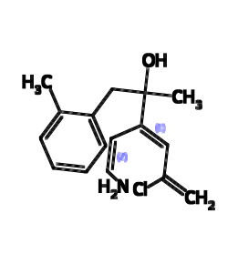 C=C(Cl)/C=C(\C=C/N)C(C)(O)Cc1ccccc1C